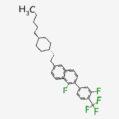 CCCCC[C@H]1CC[C@H](CCc2ccc3c(F)c(-c4ccc(C(F)(F)F)c(F)c4)ccc3c2)CC1